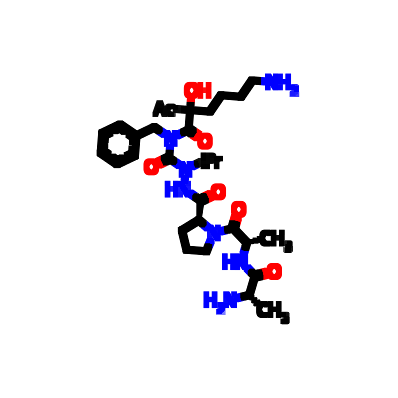 CC(=O)C(O)(CCCCN)C(=O)N(Cc1ccccc1)C(=O)N(NC(=O)[C@@H]1CCCN1C(=O)[C@H](C)NC(=O)[C@H](C)N)C(C)C